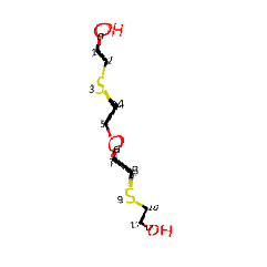 OCCSCCOCCSCCO